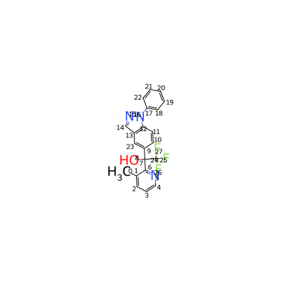 Cc1cccnc1C(O)(c1ccc2c(cnn2-c2ccccc2)c1)C(F)(F)F